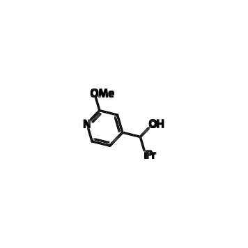 COc1cc(C(O)C(C)C)ccn1